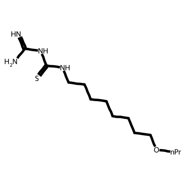 CCCOCCCCCCCCNC(=S)NC(=N)N